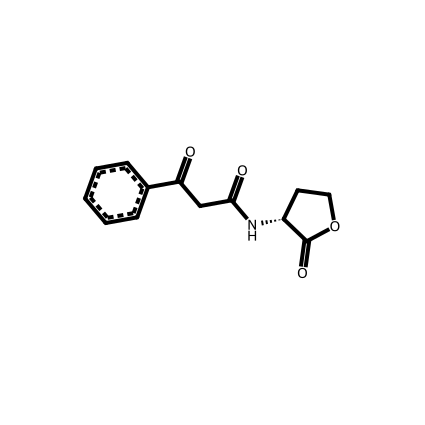 O=C(CC(=O)c1ccccc1)N[C@@H]1CCOC1=O